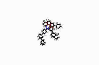 c1ccc(-c2ccc(-c3ccccc3N(c3ccc(-c4cccc(-c5ccccc5)c4)cc3)c3cc(-c4ccc5ccccc5c4)ccc3-c3ccccc3)cc2)cc1